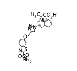 CC(NC[C@H](Cc1ccccc1)n1cc(COc2ccc3nc(S(N)(=O)=O)sc3c2)nn1)C(=O)O